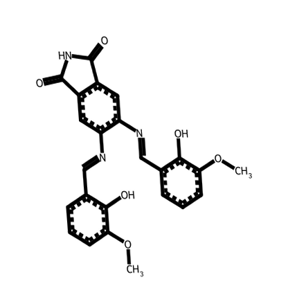 COc1cccc(/C=N/c2cc3c(cc2/N=C/c2cccc(OC)c2O)C(=O)NC3=O)c1O